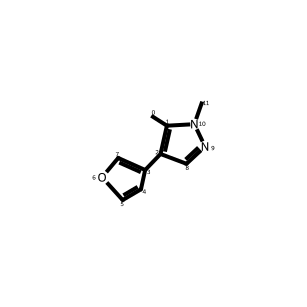 Cc1c(-c2ccoc2)cnn1C